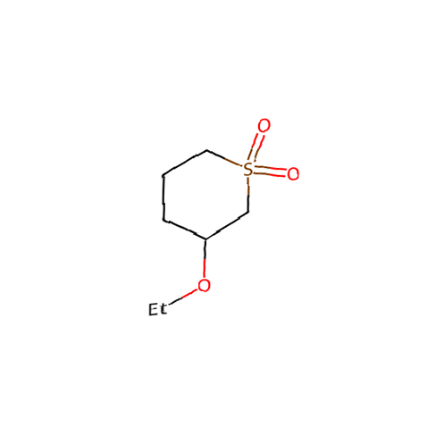 CCOC1CCCS(=O)(=O)C1